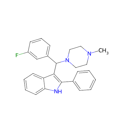 CN1CCN(C(c2cccc(F)c2)c2c(-c3ccccc3)[nH]c3ccccc23)CC1